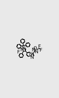 Fc1ccccc1-c1nn(C(c2ccccc2)(c2ccccc2)c2ccccc2)cc1-c1ccc2ncc(-c3noc(C(F)F)n3)n2c1